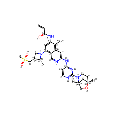 C=CC(=O)Nc1cc(N2C[C@H](CS(C)(=O)=O)[C@H]2C)c2cnc(Nc3ccnc(N4CC[C@H]5C[C@@H]4CO5)n3)cc2c1C(C)C